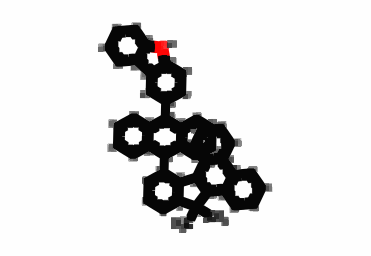 CC1(C)c2cccc(-c3c4ccccc4c(-c4ccc5oc6ccccc6c5c4)c4ccccc34)c2-c2c1c1ccccc1c1ccccc21